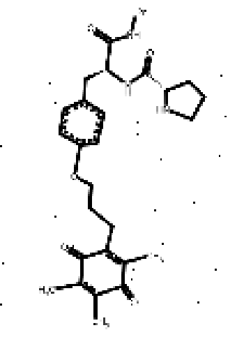 CC1=C(C)C(=O)C(CCCOc2ccc(C[C@H](NC(=O)[C@@H]3CCCN3)C(=O)NC(C)C)cc2)=C(C)C1=O